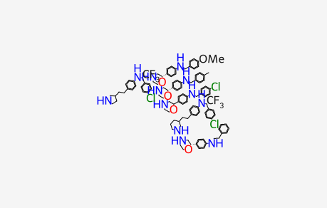 COc1ccc(CNc2ccc([C@H]3CNCCO3)cc2)cc1.Cc1ccc(CNc2ccc([C@H]3CNCCO3)cc2)cc1.Clc1ccc(CNc2ccc(C3CNCCO3)cc2)cc1.FC(F)(F)C(Nc1ccc(CCC2CCCNC2)cc1)c1ccc(Cl)cc1.FC(F)(F)C(Nc1ccc(CCC2CCNC2)cc1)c1ccc(Cl)cc1.c1ccc(CCNc2ccc([C@H]3CNCCO3)cc2)cc1